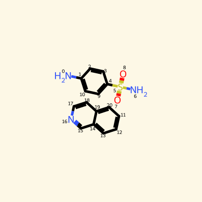 Nc1ccc(S(N)(=O)=O)cc1.c1ccc2cnccc2c1